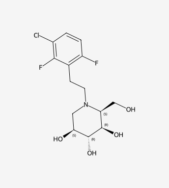 OC[C@H]1[C@@H](O)[C@H](O)[C@@H](O)CN1CCc1c(F)ccc(Cl)c1F